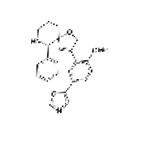 COc1ccc(-c2cnco2)cc1C1=CC2(CCCNC2c2ccccc2)OC1